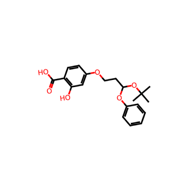 CC(C)(C)OC(CCOc1ccc(C(=O)O)c(O)c1)Oc1ccccc1